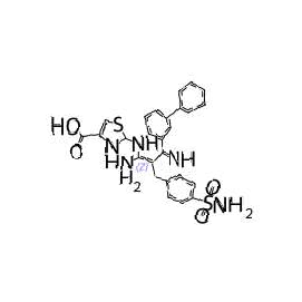 N=C(/C(Cc1ccc(S(N)(=O)=O)cc1)=C(/N)NC1NC(C(=O)O)=CS1)c1cccc(-c2ccccc2)c1